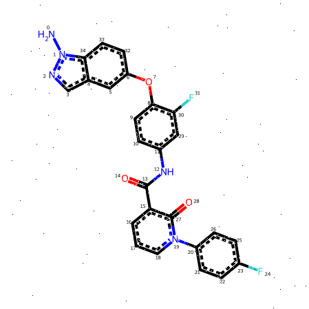 Nn1ncc2cc(Oc3ccc(NC(=O)c4cccn(-c5ccc(F)cc5)c4=O)cc3F)ccc21